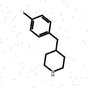 Ic1ccc(CC2CCNCC2)cc1